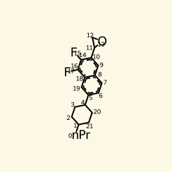 CCCC1CCC(c2ccc3cc(C4CO4)c(F)c(F)c3c2)CC1